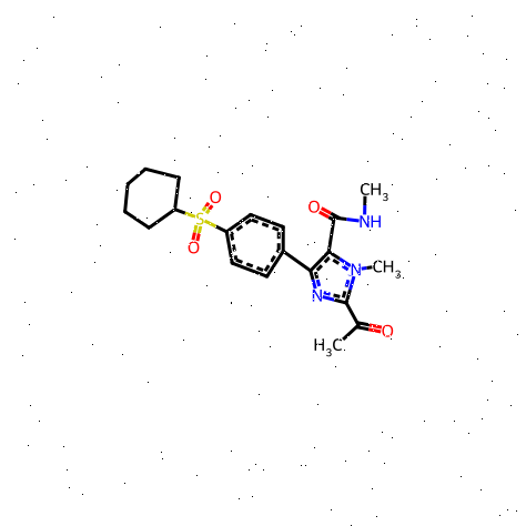 CNC(=O)c1c(-c2ccc(S(=O)(=O)C3CCCCC3)cc2)nc(C(C)=O)n1C